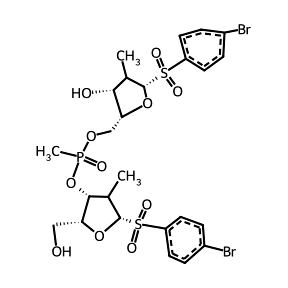 CC1[C@@H](O)[C@@H](COP(C)(=O)O[C@@H]2C(C)[C@H](S(=O)(=O)c3ccc(Br)cc3)O[C@@H]2CO)O[C@H]1S(=O)(=O)c1ccc(Br)cc1